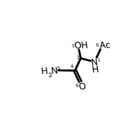 CC(=O)NC(O)C(N)=O